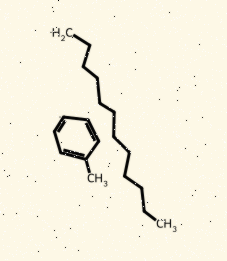 Cc1cc[c]cc1.[CH2]CCCCCCCCCCC